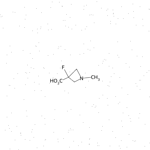 CN1CC(F)(C(=O)O)C1